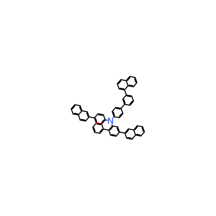 c1ccc(-c2ccc(-c3ccc4ccccc4c3)cc2N(c2ccc(-c3cccc(-c4cccc5ccccc45)c3)cc2)c2ccc(-c3ccc4ccccc4c3)cc2)cc1